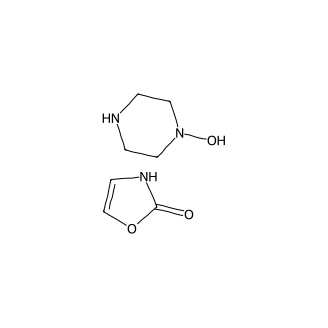 O=c1[nH]cco1.ON1CCNCC1